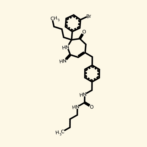 CCCCNC(=O)NCc1ccc(CC2=CC(=N)NC(CCCC)(c3cccc(Br)c3)C(=O)C2)cc1